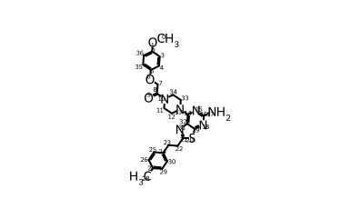 COc1ccc(OCC(=O)N2CCN(c3nc(N)nc4sc(CCc5ccc(C)cc5)nc34)CC2)cc1